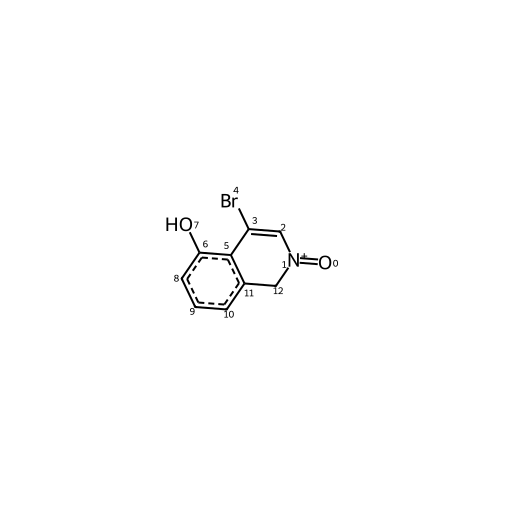 O=[N+]1C=C(Br)c2c(O)cccc2C1